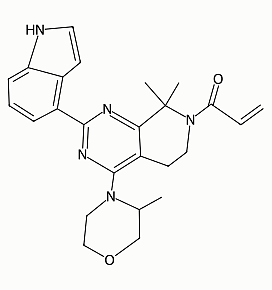 C=CC(=O)N1CCc2c(N3CCOCC3C)nc(-c3cccc4[nH]ccc34)nc2C1(C)C